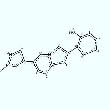 Cn1cc(-c2cnc3nc(-c4ccccc4O)cn3c2)cn1